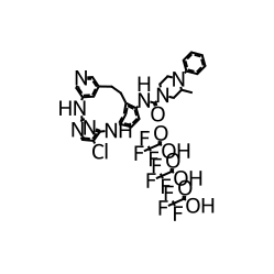 CC1CN(C(=O)Nc2ccc3cc2CCc2cncc(c2)Nc2ncc(Cl)c(n2)N3)CCN1c1ccccc1.O=C(O)C(F)(F)F.O=C(O)C(F)(F)F.O=C(O)C(F)(F)F